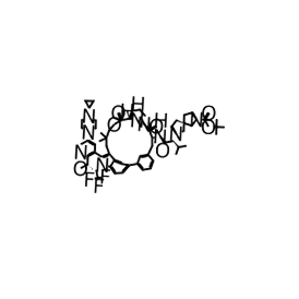 CO[C@@H](C)c1ncc(N2CCN(C3CC3)CC2)cc1-c1c2c3cc(ccc3n1CC(F)(F)F)-c1cccc(c1)C[C@H](NC(=O)[C@H](C(C)C)N1CC[C@]3(CCN(C(=O)OC(C)(C)C)C3)C1)C(=O)N1CCC[C@H](N1)C(=O)OCC(C)(C)C2